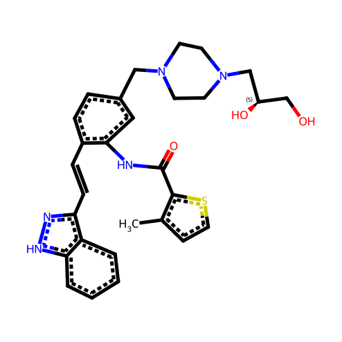 Cc1ccsc1C(=O)Nc1cc(CN2CCN(C[C@H](O)CO)CC2)ccc1C=Cc1n[nH]c2ccccc12